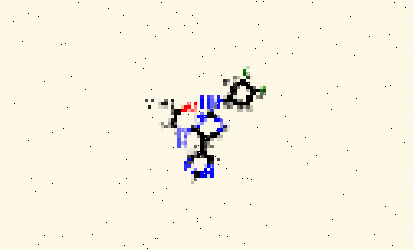 COC(=O)[C@@H](C)Nc1nc(Nc2ccc(F)c(Cl)c2)ncc1-c1cncnc1